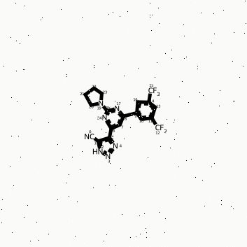 N#Cc1[nH]nnc1-c1cc(-c2cc(C(F)(F)F)cc(C(F)(F)F)c2)nc(N2CCCC2)n1